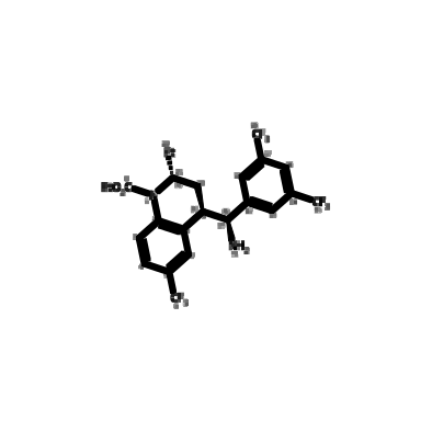 CCOC(=O)N1c2ccc(C(F)(F)F)cc2[C@H]([C@H](N)c2cc(C(F)(F)F)cc(C(F)(F)F)c2)C[C@H]1CC